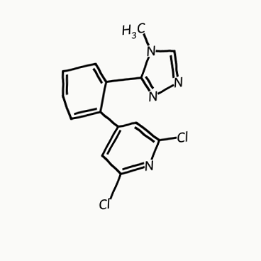 Cn1cnnc1-c1ccccc1-c1cc(Cl)nc(Cl)c1